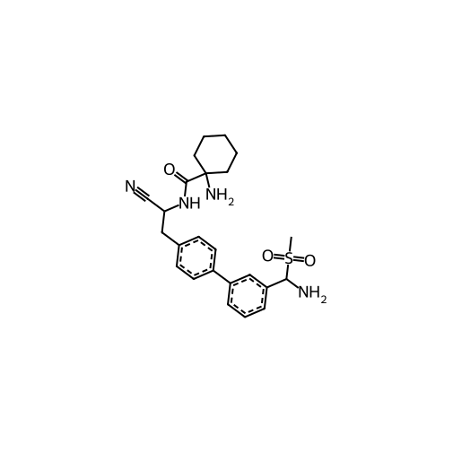 CS(=O)(=O)C(N)c1cccc(-c2ccc(CC(C#N)NC(=O)C3(N)CCCCC3)cc2)c1